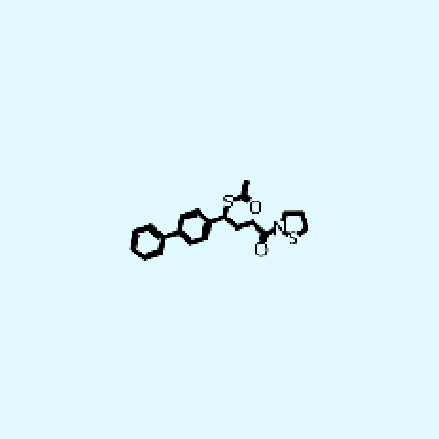 CC(=O)SC(CCC(=O)N1CCCS1)c1ccc(-c2ccccc2)cc1